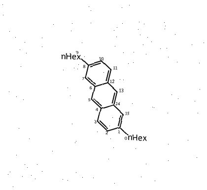 CCCCCCc1ccc2cc3cc(CCCCCC)ccc3cc2c1